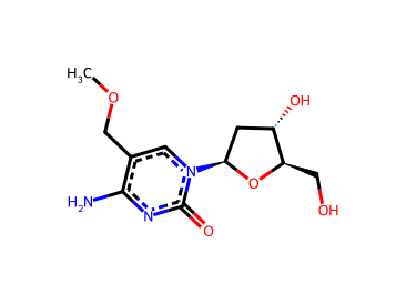 COCc1cn([C@H]2C[C@H](O)[C@@H](CO)O2)c(=O)nc1N